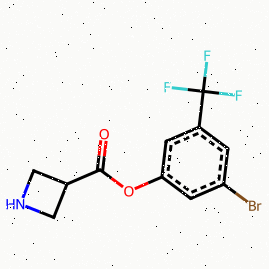 O=C(Oc1cc(Br)cc(C(F)(F)F)c1)C1CNC1